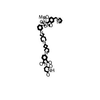 COc1cc(Cn2cccn2)cc2onc(NS(=O)(=O)c3cccc(N4CC5(CCN(C6CC7(CCN(c8ccc9c(c8)C(=O)N(C8CCC(=O)NC8=O)C9=O)C7)C6)CC5)C4)c3)c12